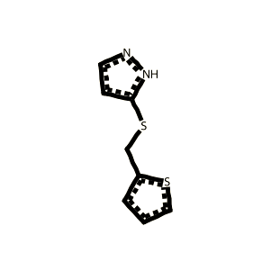 c1csc(CSc2ccn[nH]2)c1